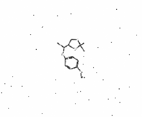 CCC(C)Oc1ccc(OC(C)C2COC(C)(C)O2)cc1